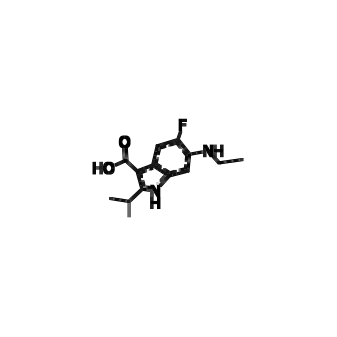 CCNc1cc2[nH]c(C(C)C)c(C(=O)O)c2cc1F